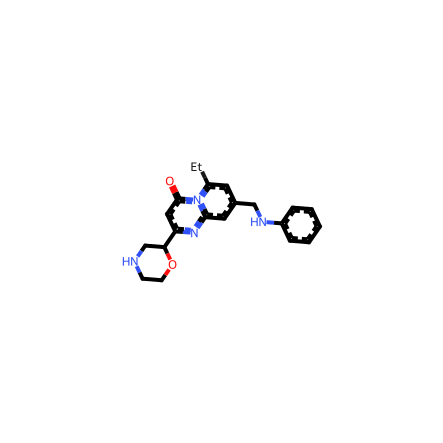 CCc1cc(CNc2ccccc2)cc2nc(C3CNCCO3)cc(=O)n12